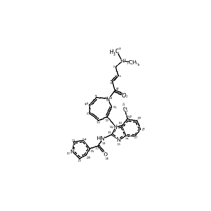 CN(C)CC=CC(=O)N1C=CC=CC(n2c(NC(=O)c3ccncc3)nc3cccc(Cl)c32)=C1